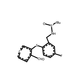 CC(C)(C)[S+]([O-])NCc1cc(F)ccc1Sc1ccccc1C=O